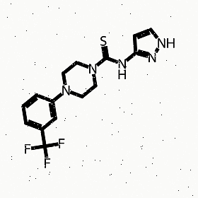 FC(F)(F)c1cccc(N2CCN(C(=S)Nc3cc[nH]n3)CC2)c1